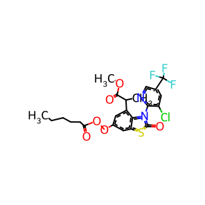 CCCCCC(=O)OOc1cc(C(C)C(=O)OC)c2c(c1)sc(=O)n2-c1ncc(C(F)(F)F)cc1Cl